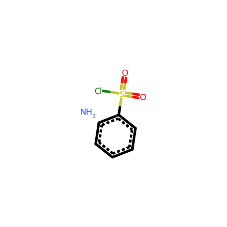 N.O=S(=O)(Cl)c1ccccc1